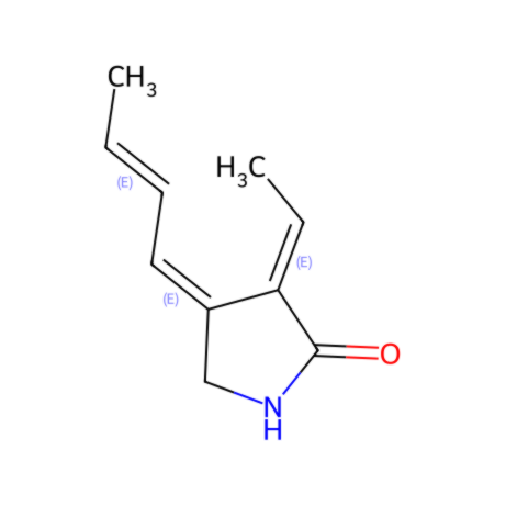 C/C=C/C=C1/CNC(=O)/C1=C/C